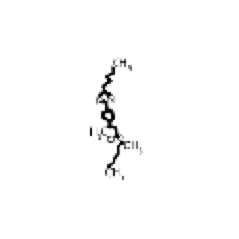 CCCCCCc1cnc(-c2ccc(C(C)CC(=O)OC(C)CCCCCC)cc2)nc1